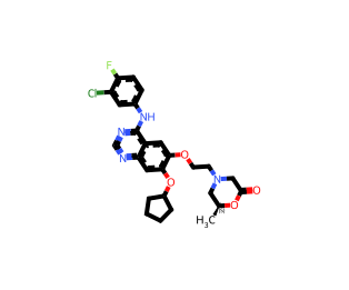 C[C@H]1CN(CCOc2cc3c(Nc4ccc(F)c(Cl)c4)ncnc3cc2OC2CCCC2)CC(=O)O1